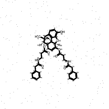 CN1CC[C@]23c4c5ccc(O)c4O[C@H]2C(OC(=O)CCNC(=O)Cc2ccccc2)=CC[C@@]3(OC(=O)CCNC(=O)Cc2ccccc2)[C@H]1C5